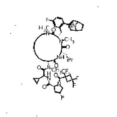 CC(C)C[C@@H]1NC(=O)[C@@H](N(C)C(=O)[C@@H](NC(=O)[C@@H]2C[C@@H](F)CN2C(=O)C2(C(F)(F)F)CC(F)(F)C2)C2CC2)CCCCCCCN(C)C(=O)[C@H](Cc2cc(F)ccc2C2=CC3CCC(C2)N3)N(C)C1=O